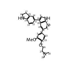 COc1cc(-c2cnc3[nH]cc(-c4ccc5c(c4)CCN5)c3c2)ccc1OCCN(C)C